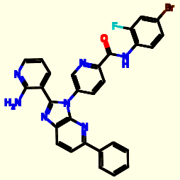 Nc1ncccc1-c1nc2ccc(-c3ccccc3)nc2n1-c1ccc(C(=O)Nc2ccc(Br)cc2F)nc1